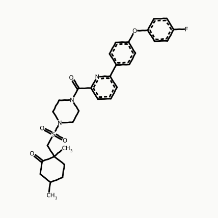 CC1CCC(C)(CS(=O)(=O)N2CCN(C(=O)c3cccc(-c4ccc(Oc5ccc(F)cc5)cc4)n3)CC2)C(=O)C1